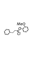 COc1ccccc1O[C@@H](Cl)CCc1ccccc1